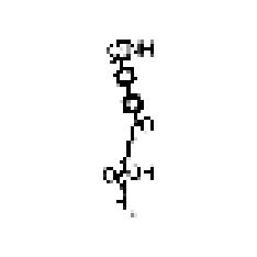 CC1(c2ccc(-c3ccc(C(=O)CCCCCC(O)C(N)=O)cc3)cc2)CNCCO1